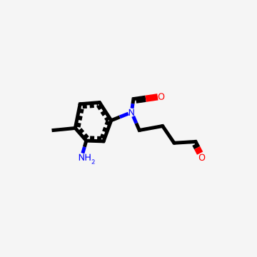 Cc1ccc(N(C=O)CCCC=O)cc1N